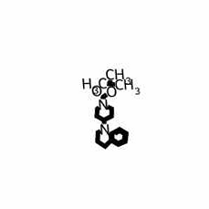 CC(C)(C)OC(=O)N1CCC(N2CCCc3ccccc32)CC1